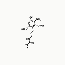 C=C(C)C(=O)NCCCc1c(OC)cc(C(C)=O)c(N)c1OC